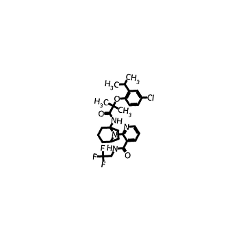 CC(C)c1cc(Cl)ccc1OC(C)(C)C(=O)NC12CCCC(CC1)N2c1ncccc1C(=O)NCC(F)(F)F